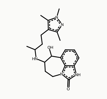 Cc1nn(C)c(C)c1CCC(C)NC1CCn2c(=O)[nH]c3cccc(c32)C1O